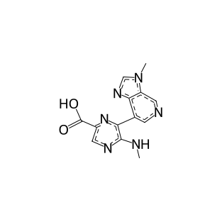 CNc1ncc(C(=O)O)nc1-c1cncc2c1ncn2C